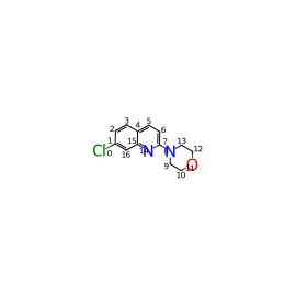 Clc1ccc2ccc(N3CCOCC3)nc2c1